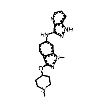 CN1CCC(Oc2nn(C)c3cc(Nc4n[nH]c5cccnc45)ccc23)CC1